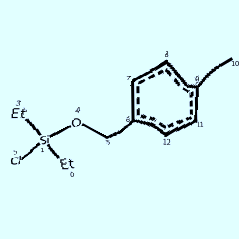 CC[Si](Cl)(CC)OCc1ccc(C)cc1